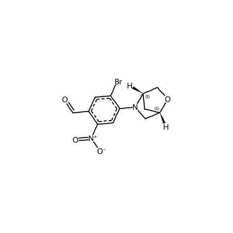 O=Cc1cc(Br)c(N2C[C@@H]3C[C@H]2CO3)cc1[N+](=O)[O-]